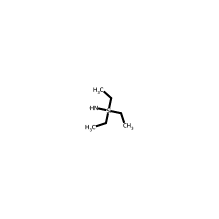 CC[Si]([NH])(CC)CC